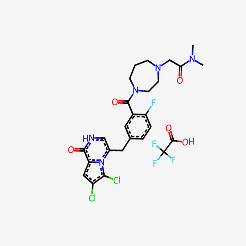 CN(C)C(=O)CN1CCCN(C(=O)c2cc(Cc3c[nH]c(=O)c4cc(Cl)c(Cl)n34)ccc2F)CC1.O=C(O)C(F)(F)F